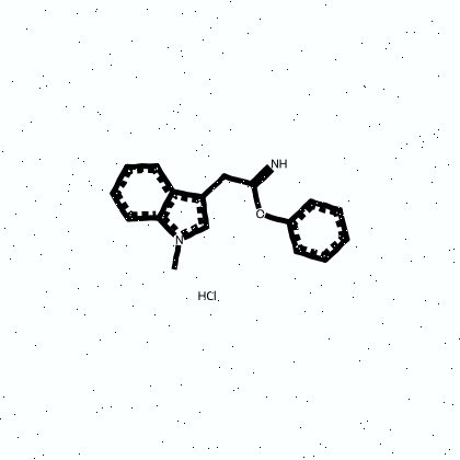 Cl.Cn1cc(CC(=N)Oc2ccccc2)c2ccccc21